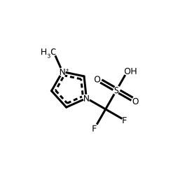 C[n+]1ccn(C(F)(F)S(=O)(=O)O)c1